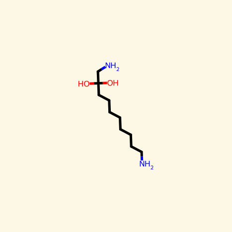 NCCCCCCCCC(O)(O)CN